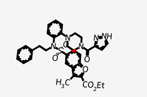 CCOC(=O)c1oc2ccc(S(=O)(=O)N(CCc3ccccc3)c3ccccc3N3CCN(C(=O)c4cc[nH]n4)CC3)cc2c1C